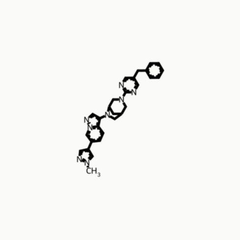 Cn1cc(-c2ccc3c(N4CC5CC4CN(c4ncc(Cc6ccccc6)cn4)C5)cnn3c2)cn1